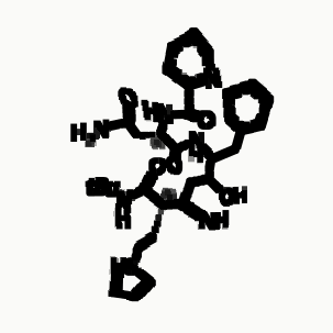 CC(C)(C)NC(=O)[C@@H](CC[SH]1C=CC=C1)C(=N)CC(O)C(Cc1ccccc1)NC(=O)[C@H](CC(N)=O)NC(=O)c1ccccn1